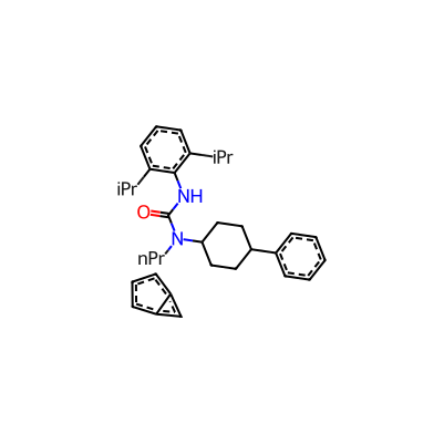 CCCN(C(=O)Nc1c(C(C)C)cccc1C(C)C)C1CCC(c2ccccc2)CC1.c1cc2cc-2c1